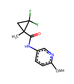 COc1ccc(NC(=O)C2(C)CC2(F)F)cn1